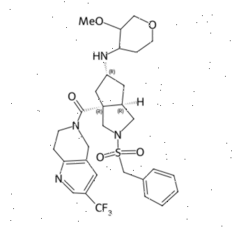 COC1COCCC1N[C@@H]1C[C@H]2CN(S(=O)(=O)Cc3ccccc3)C[C@@]2(C(=O)N2CCc3ncc(C(F)(F)F)cc3C2)C1